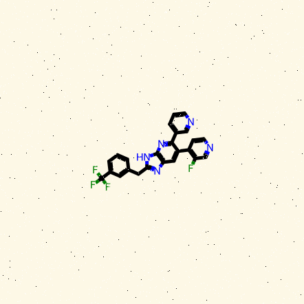 Fc1cnccc1-c1cc2nc(Cc3cccc(C(F)(F)F)c3)[nH]c2nc1-c1cccnc1